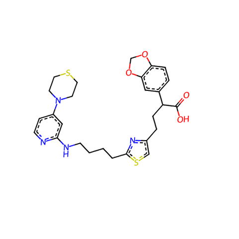 O=C(O)C(CCc1csc(CCCCNc2cc(N3CCSCC3)ccn2)n1)c1ccc2c(c1)OCO2